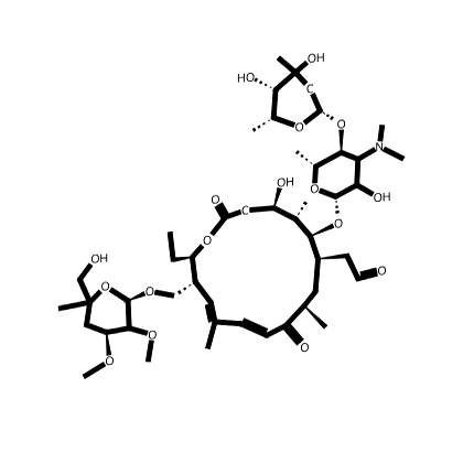 CC[C@H]1OC(=O)C[C@@H](O)[C@H](C)[C@@H](O[C@@H]2O[C@H](C)[C@@H](O[C@H]3CC(C)(O)[C@@H](O)[C@@H](C)O3)C(N(C)C)C2O)[C@@H](CC=O)C[C@@H](C)C(=O)/C=C/C(C)=C/[C@@H]1CO[C@@H]1OC(C)(CO)C[C@H](OC)C1OC